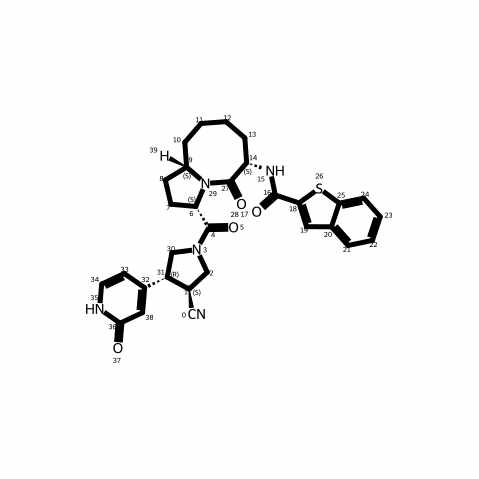 N#C[C@@H]1CN(C(=O)[C@@H]2CC[C@@H]3CCCC[C@H](NC(=O)c4cc5ccccc5s4)C(=O)N32)C[C@H]1c1cc[nH]c(=O)c1